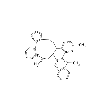 C=C1CC2C(CCc3ccccc3-c3cccc[n+]31)c1ccc(C)cc1-c1c(C)c3ccccc3c[n+]12